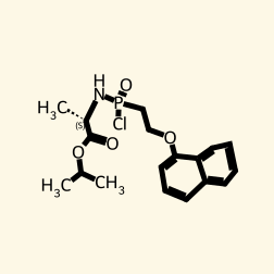 CC(C)OC(=O)[C@H](C)NP(=O)(Cl)CCOc1cccc2ccccc12